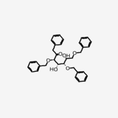 O=C(Cc1ccccc1)[C@H](OCc1ccccc1)[C@@H](O)[C@@H](OCc1ccccc1)[C@H](O)COCc1ccccc1